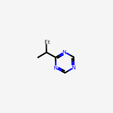 CCC(C)c1ncncn1